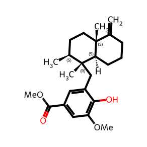 C=C1CCC[C@H]2[C@](C)(Cc3cc(C(=O)OC)cc(OC)c3O)[C@@H](C)CC[C@]12C